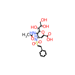 CC(=O)N[C@H]1[C@H]([C@H](O)[C@H](O)CO)OC(C(=O)O)=C[C@@H]1NS(=O)(=O)C=Cc1ccccc1